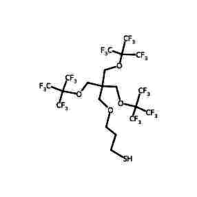 FC(F)(F)C(OCC(COCCCS)(COC(C(F)(F)F)(C(F)(F)F)C(F)(F)F)COC(C(F)(F)F)(C(F)(F)F)C(F)(F)F)(C(F)(F)F)C(F)(F)F